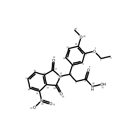 CCOc1cc(C(CC(=O)NO)N2C(=O)c3cccc([N+](=O)[O-])c3C2=O)ccc1OC